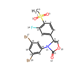 CS(=O)(=O)c1ccc(-c2coc(=O)n2-c2cc(Br)cc(Br)c2)cc1F